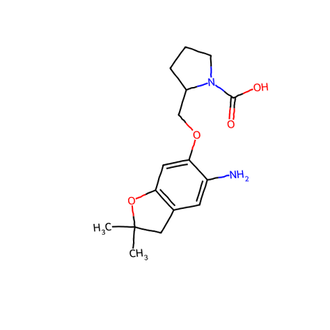 CC1(C)Cc2cc(N)c(OCC3CCCN3C(=O)O)cc2O1